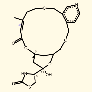 C/C1=C/C(=O)O[C@@H]2CC(CCCc3ccncc3CCCC1)O[C@@](O)([C@@H]1CSC(=O)N1)C2